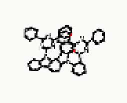 c1ccc(-c2nc(-c3ccccc3)nc(-c3ccccc3-n3c4ccccc4c4c3ccc3c5ccccc5n(-c5nc(-c6ccccc6)nc(-c6ccccc6)n5)c34)n2)cc1